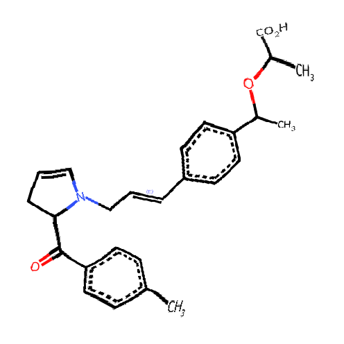 Cc1ccc(C(=O)C2CC=CN2C/C=C/c2ccc(C(C)OC(C)C(=O)O)cc2)cc1